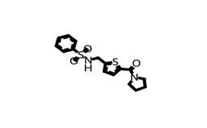 O=C(c1ccc(CNS(=O)(=O)c2ccccc2)s1)N1CCCC1